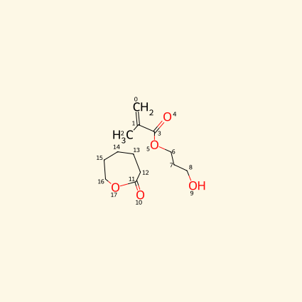 C=C(C)C(=O)OCCCO.O=C1CCCCCO1